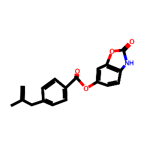 C=C(C)Cc1ccc(C(=O)Oc2ccc3[nH]c(=O)oc3c2)cc1